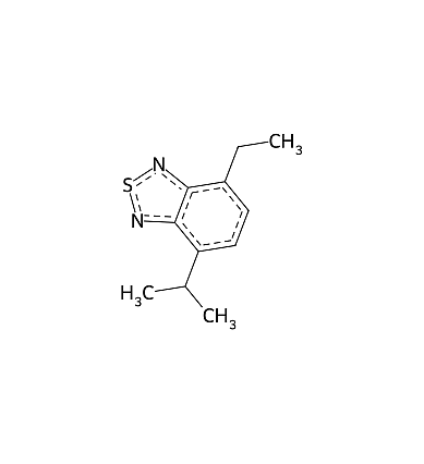 CCc1ccc(C(C)C)c2nsnc12